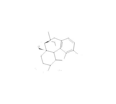 C=C[C@]12C[C@@H](C#N)[C@@](C)(OC)[C@@H]3Oc4c(O)ccc5c4[C@@]31CCN(C)[C@@H]2C5